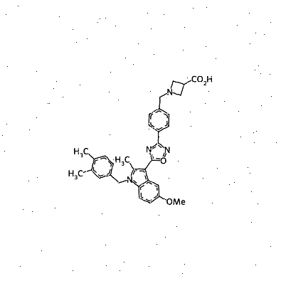 COc1ccc2c(c1)c(-c1nc(-c3ccc(CN4CC(C(=O)O)C4)cc3)no1)c(C)n2Cc1ccc(C)c(C)c1